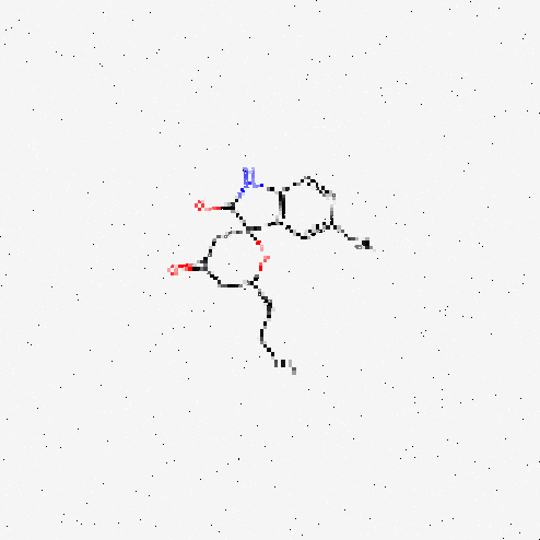 CCC[C@H]1CC(=O)C[C@]2(O1)C(=O)Nc1ccc(C)cc12